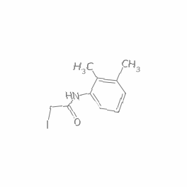 Cc1cccc(NC(=O)CI)c1C